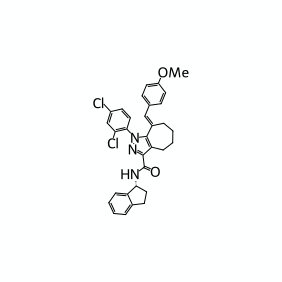 COc1ccc(/C=C2\CCCCc3c(C(=O)N[C@@H]4CCc5ccccc54)nn(-c4ccc(Cl)cc4Cl)c32)cc1